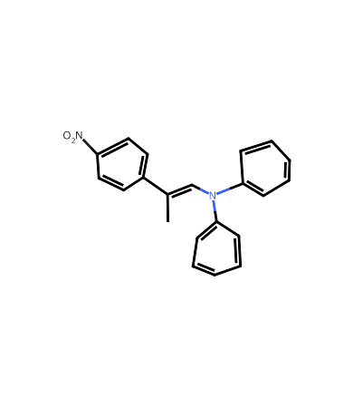 CC(=CN(c1ccccc1)c1ccccc1)c1ccc([N+](=O)[O-])cc1